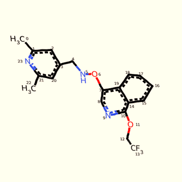 Cc1cc(CNOc2cnc(OCC(F)(F)F)c3ccccc23)cc(C)n1